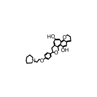 OC1=Cc2c3c(cc(O)c2=C2COC(c4ccc(OCCN5CCCCCC5)cc4)CC2=C1)=CCCO3